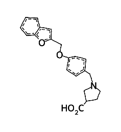 O=C(O)C1CCN(Cc2ccc(OCc3cc4ccccc4o3)cc2)C1